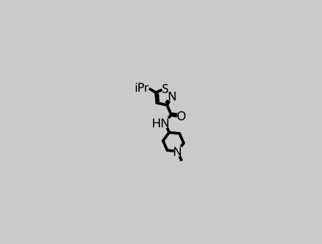 CC(C)c1cc(C(=O)NC2CCN(C)CC2)ns1